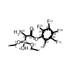 CCO[Si](O)(OCC)C(N)C(=O)Oc1c(F)c(F)c(F)c(F)c1F